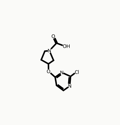 O=C(O)N1CCC(Oc2ccnc(Cl)n2)C1